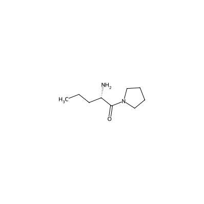 CCC[C@H](N)C(=O)N1CCCC1